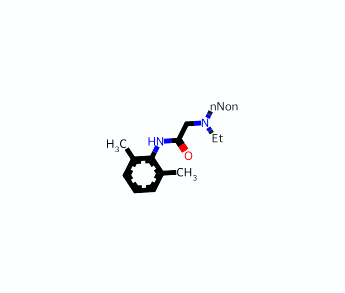 CCCCCCCCCN(CC)CC(=O)Nc1c(C)cccc1C